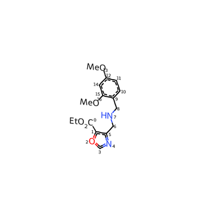 CCOC(=O)c1ocnc1CNCc1ccc(OC)cc1OC